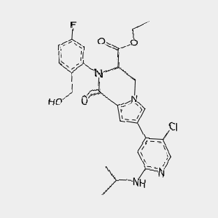 CCOC(=O)C1Cn2cc(-c3cc(NC(C)C)ncc3Cl)cc2C(=O)N1c1cc(F)ccc1CO